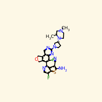 C[C@H]1CN(C)CCN1[C@@H]1CCN(c2ncc3c4c(c(-c5ncc(F)c6sc(N)c(C#N)c56)c(F)c3n2)COC4)C1